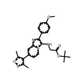 COc1ccc(-c2nc3cc(-c4c(C)noc4C)ccn3c2NCC(=O)OC(C)(C)C)cc1